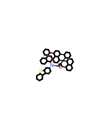 c1ccc(-c2ccc3c4c(cccc24)C2(c4cc(N(c5ccc6c(c5)sc5ccccc56)c5cccc6ccccc56)ccc4-c4cccc5cccc2c45)c2ccccc2-3)cc1